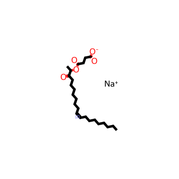 CCCCCCCC/C=C\CCCCCCCC(=O)C(C)OC(=O)CCC(=O)[O-].[Na+]